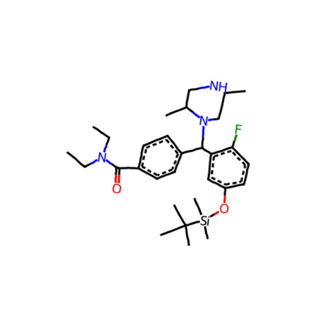 CCN(CC)C(=O)c1ccc(C(c2cc(O[Si](C)(C)C(C)(C)C)ccc2F)N2CC(C)NCC2C)cc1